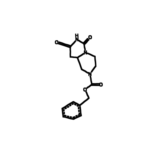 O=C1CC2CN(C(=O)OCc3ccccc3)CCN2C(=O)N1